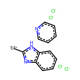 [Cl-].[Cl-].[Cl-].[Cl-].[Ti+4][c]1nc2ccccc2[nH]1.c1ccncc1